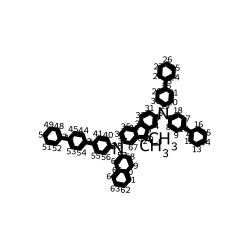 CC1(C)c2cc(N(c3ccc(-c4ccccc4)cc3)c3ccc(-c4ccccc4)cc3)ccc2-c2ccc(N(c3ccc(-c4ccc(-c5ccccc5)cc4)cc3)c3ccc4ccccc4c3)cc21